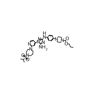 CCCOC(=O)N1CCN(c2ccc(Nc3nc(N)n(-c4ccnc(N5CCCN(S(=O)(=O)C(C)C)CC5)c4)n3)cc2)CC1